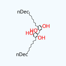 CCCCCCCCCCCCCCCCCCc1cc(O)cc(Cc2cc(O)cc(CCCCCCCCCCCCCCCCCC)c2O)c1O